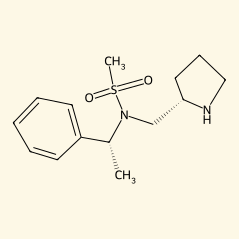 C[C@H](c1ccccc1)N(C[C@@H]1CCCN1)S(C)(=O)=O